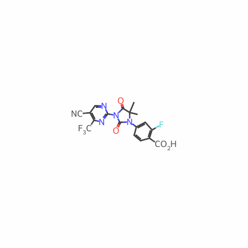 CC1(C)C(=O)N(c2ncc(C#N)c(C(F)(F)F)n2)C(=O)N1c1ccc(C(=O)O)c(F)c1